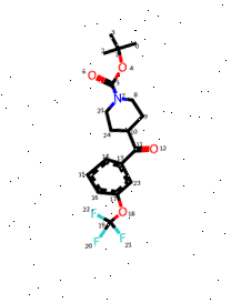 CC(C)(C)OC(=O)N1CCC(C(=O)c2cccc(OC(F)(F)F)c2)CC1